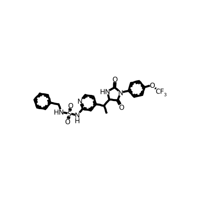 CC(c1ccnc(NS(=O)(=O)NCc2ccccc2)c1)C1NC(=O)N(c2ccc(OC(F)(F)F)cc2)C1=O